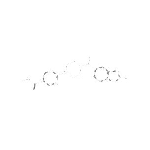 CNC(=O)c1cnc(N2CCN(C(C)c3ccc4sc(C)nc4c3)CC2)nc1